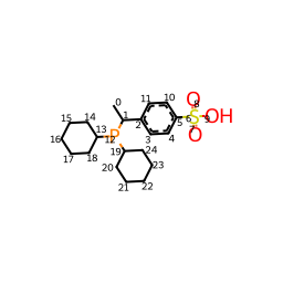 CC(c1ccc(S(=O)(=O)O)cc1)P(C1CCCCC1)C1CCCCC1